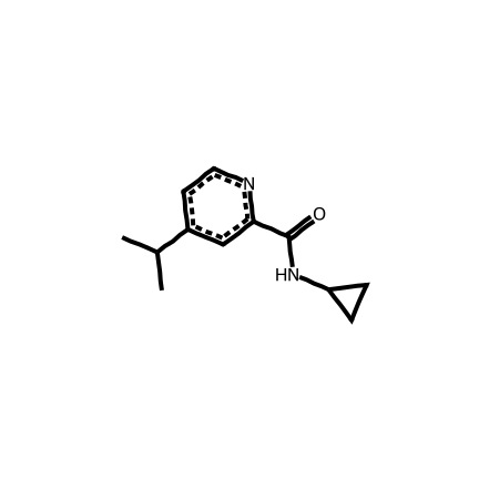 CC(C)c1ccnc(C(=O)NC2CC2)c1